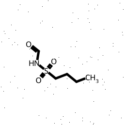 CCCCS(=O)(=O)NC=O